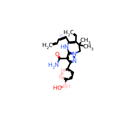 C=C/C=C\C1=C(C=C)C(C)(C)Cn2nc(-c3bbc(BO)cc3)c(C(N)=O)c2N1